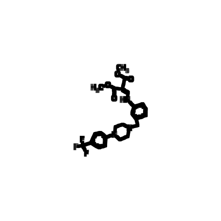 COC(=O)C(=CNc1cccc(CN2CCN(c3ccc(C(F)(F)F)cc3)CC2)c1)C(=O)OC